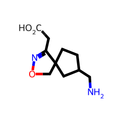 NCC1CCC2(CON=C2CC(=O)O)C1